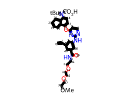 C#Cc1cc(Nc2nccc(Oc3ccc(N(C(=O)O)C(C)(C)C)c4ccccc34)n2)cc(C(=O)NCCOCCOCCOC)c1